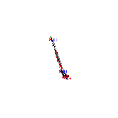 O=C(CS)NCCCCCCCCCCCOCCOOCCOCCOCCOCCOC(=O)NCc1ccc(C(=O)NO)c(O)c1